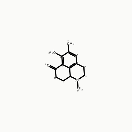 COc1cc2c3c(c1OC)C(=O)CCC3N(C)CC2